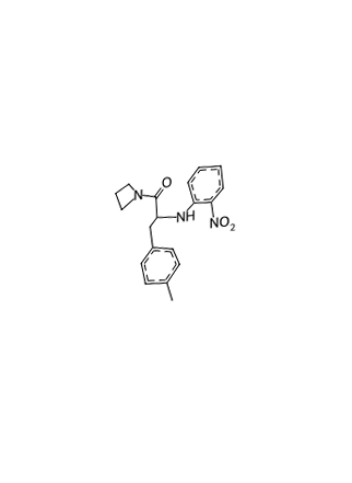 Cc1ccc(CC(Nc2ccccc2[N+](=O)[O-])C(=O)N2CCC2)cc1